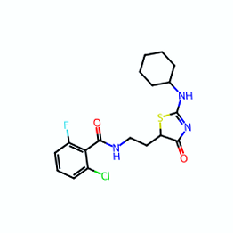 O=C(NCCC1SC(NC2CCCCC2)=NC1=O)c1c(F)cccc1Cl